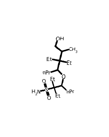 CCCC(OC(CCC)C(CC)(CC)S(N)(=O)=O)C(CC)(CC)C(C)CO